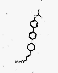 COCC=C[C@H]1CC[C@H](c2ccc(-c3ccc(OC(F)F)cc3)cc2)CC1